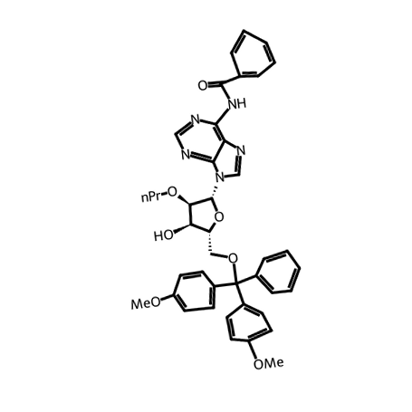 CCCO[C@@H]1[C@H](O)[C@@H](COC(c2ccccc2)(c2ccc(OC)cc2)c2ccc(OC)cc2)O[C@H]1n1cnc2c(NC(=O)c3ccccc3)ncnc21